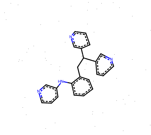 c1cncc(Nc2ccccc2CC(c2cccnc2)c2cccnc2)c1